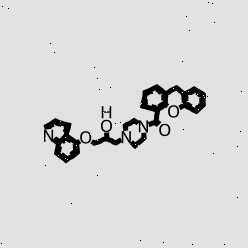 O=C(c1cccc2c1Oc1ccccc1C2)N1CCN(CC(O)COc2cccc3ncccc23)CC1